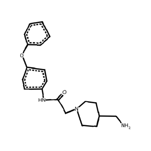 NCC1CCN(CC(=O)Nc2ccc(Oc3ccccc3)cc2)CC1